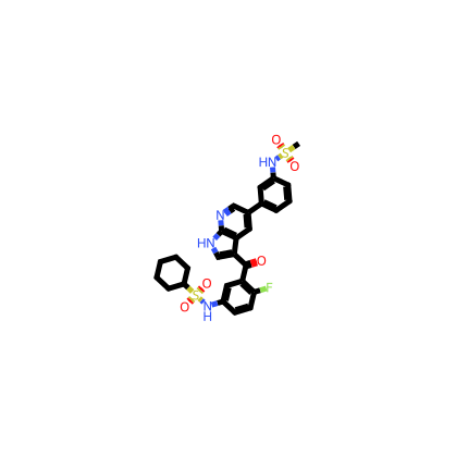 CS(=O)(=O)Nc1cccc(-c2cnc3[nH]cc(C(=O)c4cc(NS(=O)(=O)C5CCCCC5)ccc4F)c3c2)c1